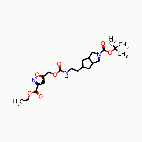 CCOC(=O)c1cc(COC(=O)NCCC2CC3CN(C(=O)OC(C)(C)C)CC3C2)on1